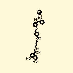 O=C(N[C@@H](c1ccccc1)c1cccc(OCC2CCC(C(=O)OCCCCNC[C@H](O)c3ccc(O)c4[nH]c(=O)ccc34)CC2)c1)O[C@H]1CN2CCC1CC2